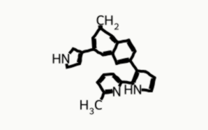 C=C1C=C(C2=CCNC2)C=c2cc(C3=C(c4cccc(C)n4)NC=CC3)ccc2=C1